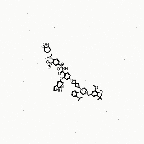 COc1cc(CN2CCN(C3CC4(C3)CN(c3ccc(C(=O)NS(=O)(=O)c5ccc(NC[C@H]6CC[C@](C)(O)CC6)c([N+](=O)[O-])c5)c(Oc5cnc6[nH]ccc6c5)c3)C4)[C@H](c3ccccc3C(C)C)C2)cc2c1OCC2(C)C